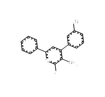 Cc1nc(-c2ccccc2)cc(-c2cccc(C#N)c2)c1N